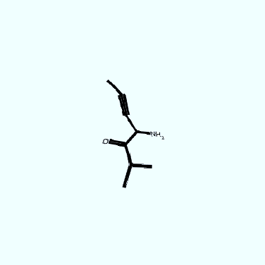 CC#CC(N)C(=O)C(C)C